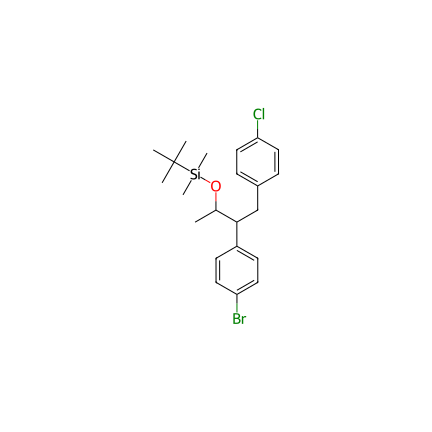 CC(O[Si](C)(C)C(C)(C)C)C(Cc1ccc(Cl)cc1)c1ccc(Br)cc1